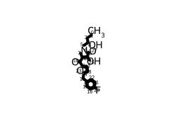 CCCC(O)CN1CC(C(=O)c2ccc(Cc3ccc(F)cc3)o2)=C(O)C1=O